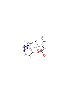 CC(C)[N+]1(C)C2CCCC1CC2.CCC(CC(=O)[O-])C(C)C